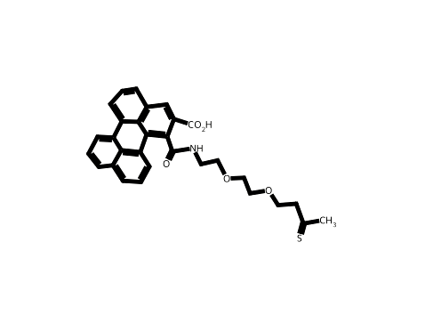 CC(=S)CCOCCOCCNC(=O)c1c(C(=O)O)cc2cccc3c4cccc5cccc(c1c23)c54